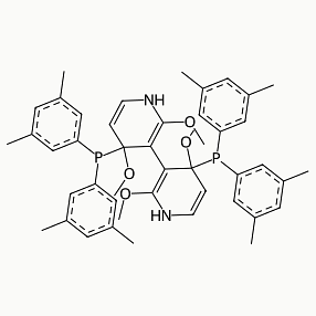 COC1=C(C2=C(OC)NC=CC2(OC)P(c2cc(C)cc(C)c2)c2cc(C)cc(C)c2)C(OC)(P(c2cc(C)cc(C)c2)c2cc(C)cc(C)c2)C=CN1